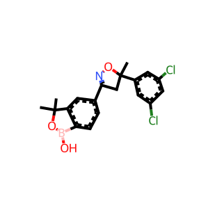 CC1(C)OB(O)c2ccc(C3=NOC(C)(c4cc(Cl)cc(Cl)c4)C3)cc21